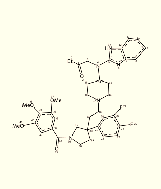 CCC(=O)CN(c1nc2ccccc2[nH]1)C1CCN(CCC2(c3ccc(F)c(F)c3)CCN(C(=O)c3cc(OC)c(OC)c(OC)c3)C2)CC1